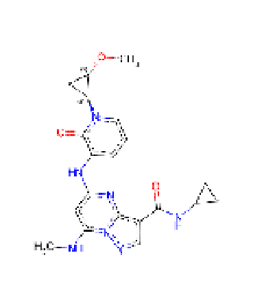 CNc1cc(Nc2cccn([C@H]3C[C@@H]3OC)c2=O)nc2c(C(=O)NC3CC3)cnn12